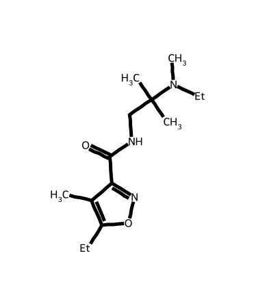 CCc1onc(C(=O)NCC(C)(C)N(C)CC)c1C